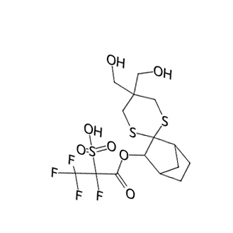 O=C(OC1C2CCC(C2)C12SCC(CO)(CO)CS2)C(F)(C(F)(F)F)S(=O)(=O)O